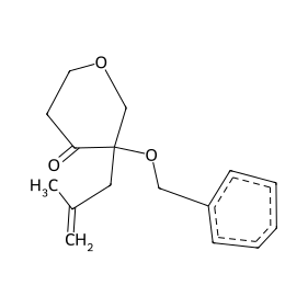 C=C(C)CC1(OCc2ccccc2)COCCC1=O